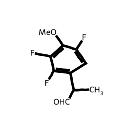 COc1c(F)cc(C(C)C=O)c(F)c1F